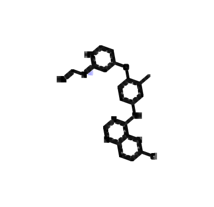 Cc1cc(Nc2ncnc3ccc(Cl)nc23)ccc1Oc1cc[nH]/c(=N\C=N)c1